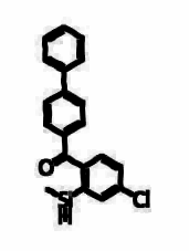 C[SiH](C)c1cc(Cl)ccc1C(=O)c1ccc(-c2ccccc2)cc1